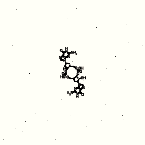 Nc1nc2c(ncn2C2CC3COP(=O)(O)O[C@@H]4C[C@H](n5cnc6c(=O)[nH]c(N)nc65)CC4COP(=O)(O)OC3C2O)c(=O)[nH]1